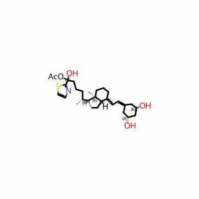 CC(=O)O[C@@](O)(CCC[C@@H](C)[C@H]1CC[C@H]2/C(=C/C=C3C[C@@H](O)C[C@H](O)C3)CCC[C@]12C)c1nccs1